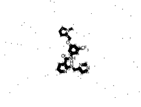 CN1CCCC1COc1cc(NC(=O)c2cccnc2NCc2ccncn2)cc(C(F)(F)F)c1